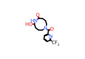 O=C1CCCN(C(=O)c2cccc(C(F)(F)F)n2)CCCC(O)N1